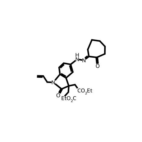 C=CCN1C(=O)C(CC(=O)OCC)(CC(=O)OCC)c2cc(N/N=C3\CCCCCC3=O)ccc21